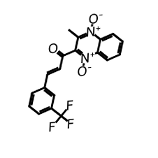 Cc1c(C(=O)C=Cc2cccc(C(F)(F)F)c2)[n+]([O-])c2ccccc2[n+]1[O-]